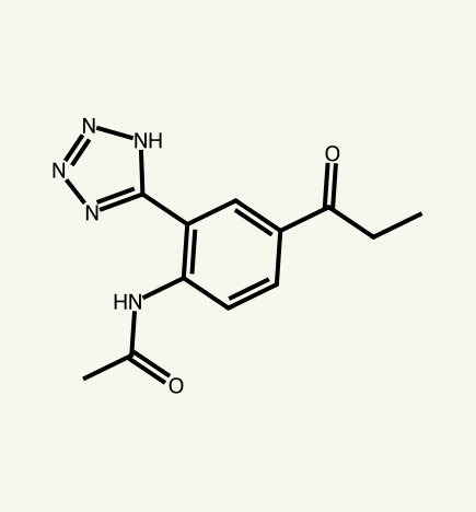 CCC(=O)c1ccc(NC(C)=O)c(-c2nnn[nH]2)c1